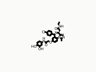 CCNC(=O)C[C@@H]1N=C(c2ccc(Cl)cc2)c2cc(OCC(=O)Nc3ccc(O)c(O)c3)ccc2-n2c(C)nnc21